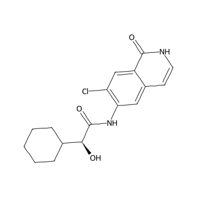 O=C(Nc1cc2cc[nH]c(=O)c2cc1Cl)[C@@H](O)C1CCCCC1